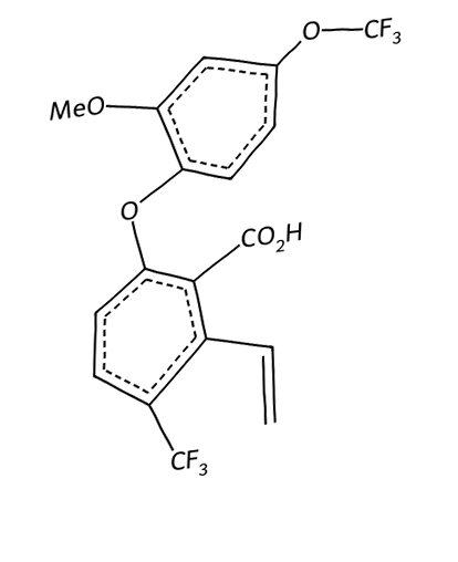 C=Cc1c(C(F)(F)F)ccc(Oc2ccc(OC(F)(F)F)cc2OC)c1C(=O)O